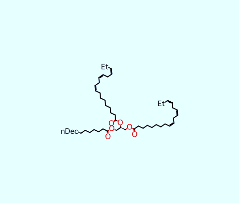 CC/C=C\C/C=C\C/C=C\CCCCCCCC(=O)OC[C@@H](COC(=O)CCCCCCCCCCCCCCCC)OC(=O)CCCCCCC/C=C\C/C=C\C/C=C\CC